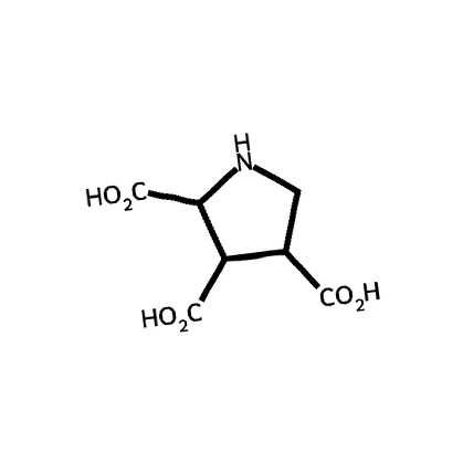 O=C(O)C1CNC(C(=O)O)C1C(=O)O